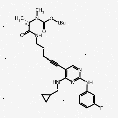 C[C@@H](C(=O)NCCCC#Cc1cnc(Nc2cccc(F)c2)nc1NCC1CC1)N(C)C(=O)OC(C)(C)C